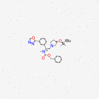 CN(C(=O)OCc1ccccc1)[C@H](CN1CC[C@H](O[Si](C)(C)C(C)(C)C)C1)c1cccc(-c2nnco2)c1